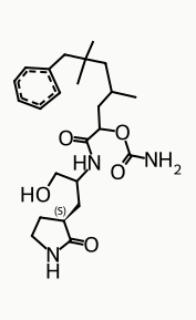 CC(CC(OC(N)=O)C(=O)NC(CO)C[C@@H]1CCNC1=O)CC(C)(C)Cc1ccccc1